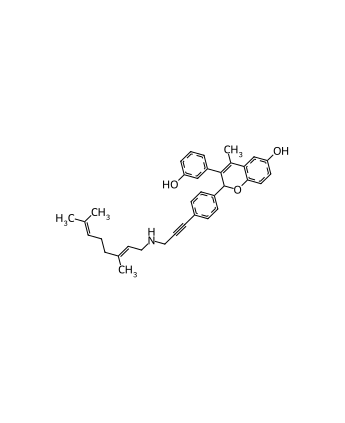 CC(C)=CCC/C(C)=C/CNCC#Cc1ccc(C2Oc3ccc(O)cc3C(C)=C2c2cccc(O)c2)cc1